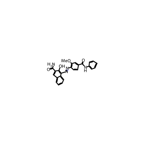 COc1cc(C(=O)Nc2ccccc2)ccc1/N=N/c1c(O)c(C(N)=O)cc2ccccc12